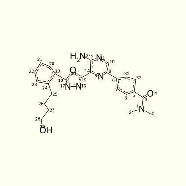 CN(C)C(=O)c1ccc(-c2cnc(N)c(-c3nnc(-c4ccccc4CCCCO)o3)n2)cc1